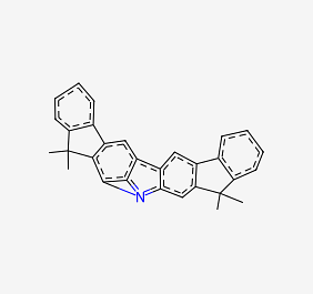 CC1(C)c2ccccc2-c2cc3c4cc5c(c6c4n-6c3cc21)C(C)(C)c1ccccc1-5